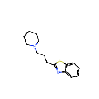 [CH](CCN1CCCCC1)c1nc2ccccc2s1